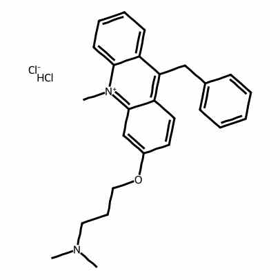 CN(C)CCCOc1ccc2c(Cc3ccccc3)c3ccccc3[n+](C)c2c1.Cl.[Cl-]